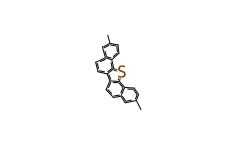 Cc1ccc2c(ccc3c4ccc5cc(C)ccc5c4sc23)c1